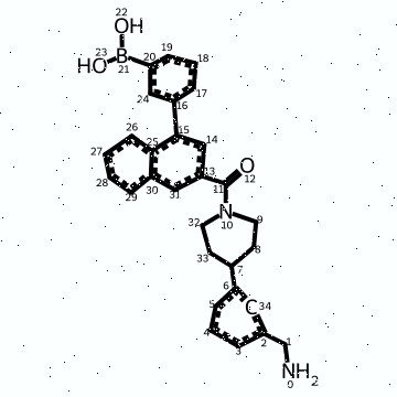 NCc1cccc(C2CCN(C(=O)c3cc(-c4cccc(B(O)O)c4)c4ccccc4c3)CC2)c1